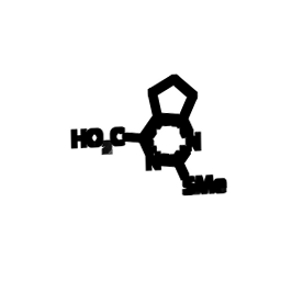 CSc1nc2c(c(C(=O)O)n1)CCC2